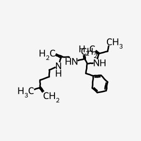 C=C(C)CCCNC(=C)CNC(=C)C(Cc1ccccc1)NC(=C)CC